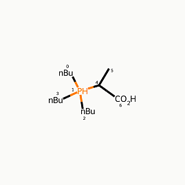 CCCC[PH](CCCC)(CCCC)C(C)C(=O)O